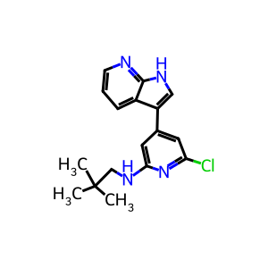 CC(C)(C)CNc1cc(-c2c[nH]c3ncccc23)cc(Cl)n1